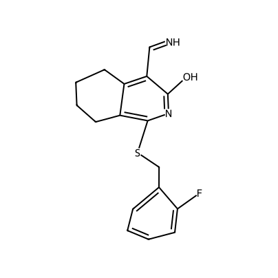 N=Cc1c(O)nc(SCc2ccccc2F)c2c1CCCC2